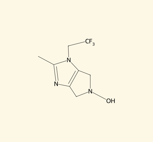 Cc1nc2c(n1CC(F)(F)F)CN(O)C2